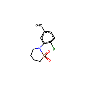 O=Cc1ccc(F)c(N2CCCCS2(=O)=O)c1